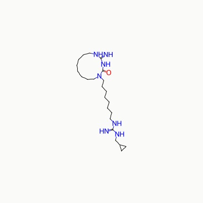 N=C(NCCCCCCCCN1CCCCCCCCNC(=N)NC1=O)NCC1CC1